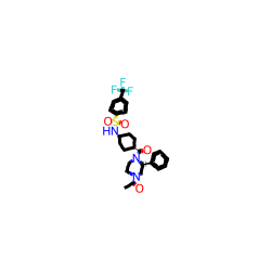 CC(=O)N1CCN(C(=O)[C@H]2CC[C@H](NS(=O)(=O)c3ccc(C(F)(F)F)cc3)CC2)[C@@H](c2ccccc2)C1